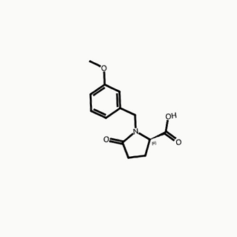 COc1cccc(CN2C(=O)CC[C@@H]2C(=O)O)c1